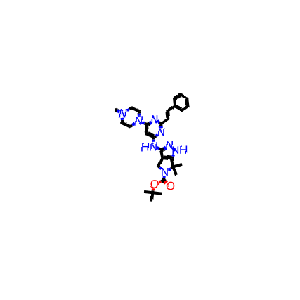 CN1CCN(c2cc(Nc3n[nH]c4c3CN(C(=O)OC(C)(C)C)C4(C)C)nc(/C=C/c3ccccc3)n2)CC1